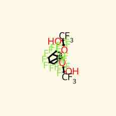 OC(F)(C(F)(F)F)C(F)(F)OC12C(F)(F)C3(F)C(F)(F)C(F)(C1(F)F)C(F)(F)C(OC(F)(F)C(O)(F)C(F)(F)F)(C3(F)F)C2(F)F